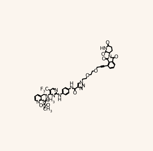 CN(c1ncccc1CNc1nc(Nc2ccc(NC(=O)c3cn(CCOCCOCC#Cc4cccc5c4C(=O)N(C4CCC(=O)NC4=O)C5=O)nn3)cc2)ncc1C(F)(F)F)S(C)(=O)=O